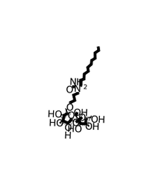 CCCCCCCCCCCCN(CCCCOC[C@H]1O[C@H](O[C@]2(CO)O[C@H](CO)[C@@H](O)[C@@H]2O)[C@H](O)[C@@H](O)[C@@H]1O)C(N)=O